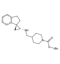 CC(C)(C)OC(=O)N1CCC(CN[C@@H]2C[C@@]23CCc2ccccc23)CC1